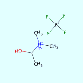 CC(O)[NH+](C)C.F[B-](F)(F)F